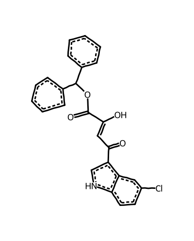 O=C(OC(c1ccccc1)c1ccccc1)C(O)=CC(=O)c1c[nH]c2ccc(Cl)cc12